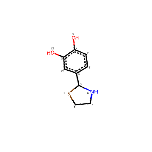 Oc1ccc(C2NCCS2)cc1O